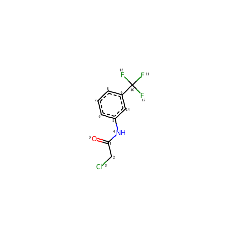 O=C(CCl)Nc1cccc(C(F)(F)F)c1